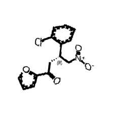 O=C(C[C@@H](C[N+](=O)[O-])c1ccccc1Cl)c1ccco1